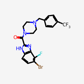 O=C(c1nc2c(F)c(Br)ccc2[nH]1)N1CCN(Cc2ccc(C(F)(F)F)cc2)CC1